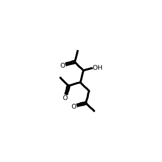 CC(=O)CC(C(C)=O)C(O)C(C)=O